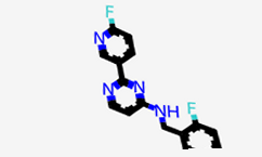 Fc1ccc(-c2nccc(NCc3ccccc3F)n2)cn1